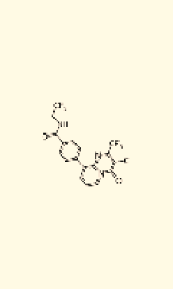 O=C(NCC(F)(F)F)c1ccc(-c2cccn3c(=O)c(Cl)c(C(F)(F)F)nc23)cc1